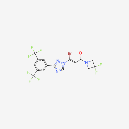 O=C(C=C(Br)n1cnc(-c2cc(C(F)(F)F)cc(C(F)(F)F)c2)n1)N1CC(F)(F)C1